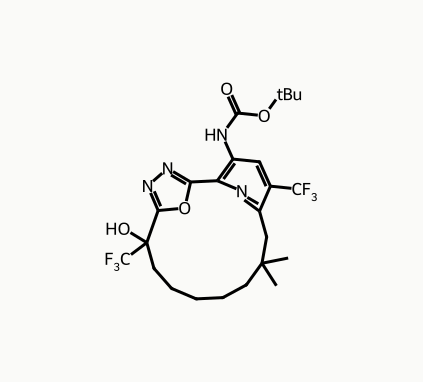 CC1(C)CCCCCC(O)(C(F)(F)F)c2nnc(o2)-c2nc(c(C(F)(F)F)cc2NC(=O)OC(C)(C)C)C1